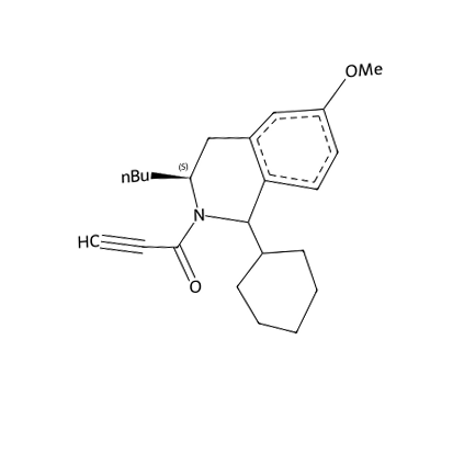 C#CC(=O)N1C(C2CCCCC2)c2ccc(OC)cc2C[C@@H]1CCCC